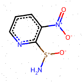 N[S+]([O-])c1ncccc1[N+](=O)[O-]